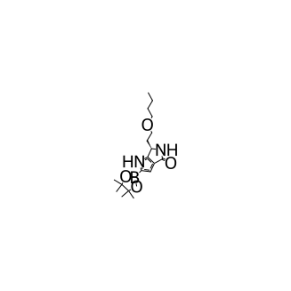 CCCCOCC[C@H]1NC(=O)c2cc(B3OC(C)(C)C(C)(C)O3)[nH]c21